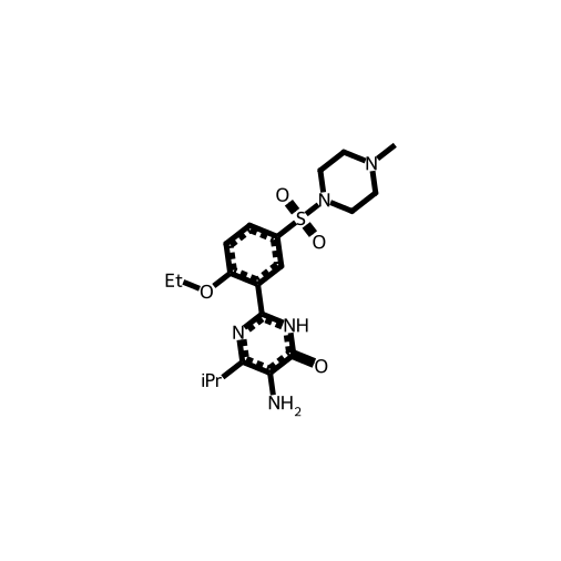 CCOc1ccc(S(=O)(=O)N2CCN(C)CC2)cc1-c1nc(C(C)C)c(N)c(=O)[nH]1